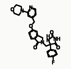 O=C1NC(=O)C(CN2Cc3cc(OCc4ccnc(N5CCOCC5)c4)ccc3C2=O)(c2ccc(F)cc2)N1